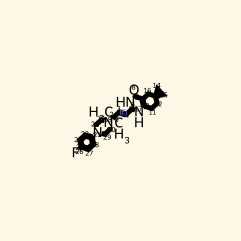 CC(C)(/C=C/C1NC(=O)C2=C(CCC3(CC3)C2)N1)N1CCN(c2ccc(F)cc2)CC1